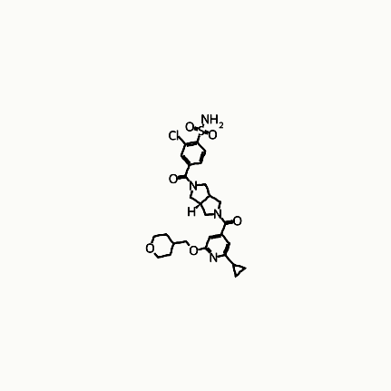 NS(=O)(=O)c1ccc(C(=O)N2CC3CN(C(=O)c4cc(OCC5CCOCC5)nc(C5CC5)c4)C[C@@H]3C2)cc1Cl